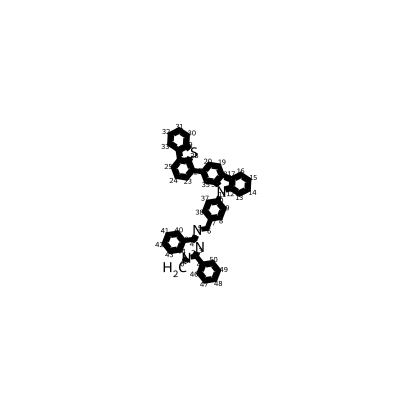 C=N/C(=N\C(=N/Cc1ccc(-n2c3ccccc3c3ccc(-c4cccc5c4sc4ccccc45)cc32)cc1)c1ccccc1)c1ccccc1